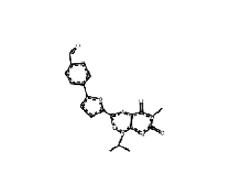 CC(C)n1nc(-c2ccc(-c3ccc(C=O)cc3)o2)nc2c(=O)n(C)c(=O)nc1-2